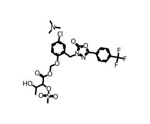 CC(O)C(OS(C)(=O)=O)C(=O)OCOc1ccc(Cl)cc1Cn1nc(-c2ccc(C(F)(F)F)cc2)oc1=O.CN(C)C